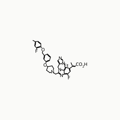 CCn1cncc1Cn1c(CN2CCC(Oc3cccc(COc4ccc(C)cc4F)c3)CC2)nc2c(F)cc(/C(C)=C/C(=O)O)cc21